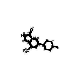 CN1CC=C(c2cc(C(F)(F)F)c3c[nH]c(=O)n3c2)CC1